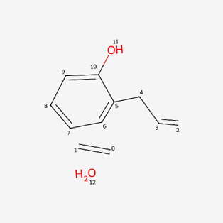 C=C.C=CCc1ccccc1O.O